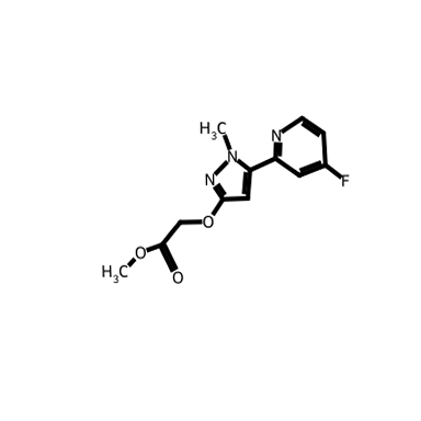 COC(=O)COc1cc(-c2cc(F)ccn2)n(C)n1